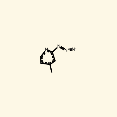 Cc1ccnc(N=[N+]=[N-])c1